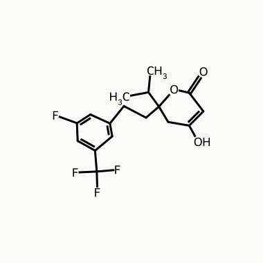 CC(C)C1(CCc2cc(F)cc(C(F)(F)F)c2)CC(O)=CC(=O)O1